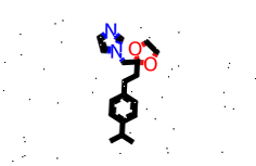 CC(C)c1ccc(CCC2(Cn3ccnc3)OCCO2)cc1